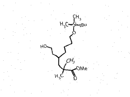 COC(=O)C(C)(C)CC(CCO)CCCCO[Si](C)(C)C(C)(C)C